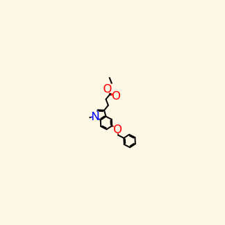 CCOC(=O)CCc1cn(C)c2ccc(OCc3ccccc3)cc12